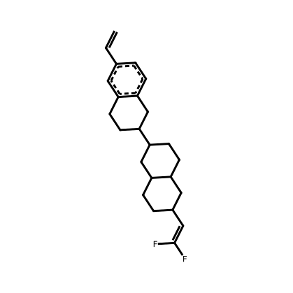 C=Cc1ccc2c(c1)CCC(C1CCC3CC(C=C(F)F)CCC3C1)C2